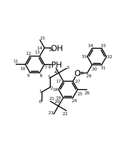 CCCCC(C)(Pc1ccc(C)cc1C(C)O)c1cc(C(C)(C)C)cc(C)c1OCc1ccccc1